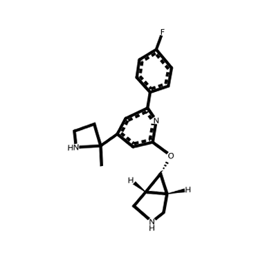 CC1(c2cc(O[C@@H]3[C@@H]4CNC[C@@H]43)nc(-c3ccc(F)cc3)c2)CCN1